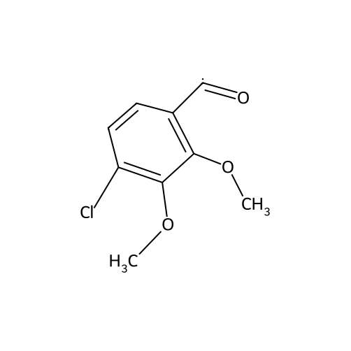 COc1c(Cl)ccc([C]=O)c1OC